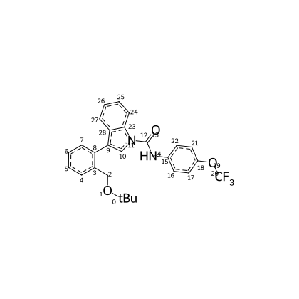 CC(C)(C)OCc1ccccc1-c1cn(C(=O)Nc2ccc(OC(F)(F)F)cc2)c2ccccc12